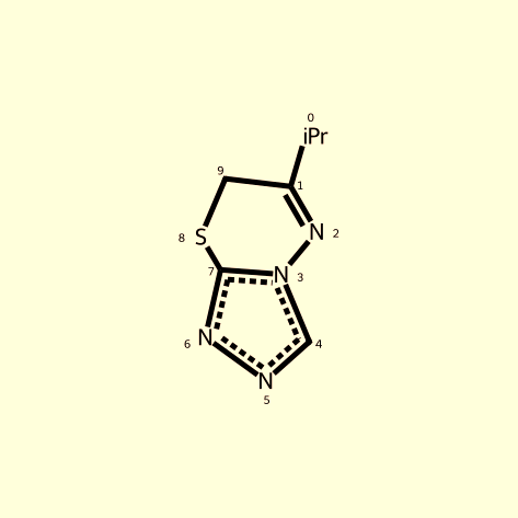 CC(C)C1=Nn2cnnc2SC1